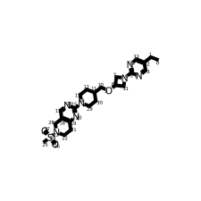 CCc1cnc(N2CC(OCC3CCN(c4ncc5c(n4)CCN(S(C)(=O)=O)C5)CC3)C2)nc1